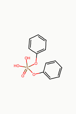 O=S(O)(O)(Oc1ccccc1)Oc1ccccc1